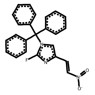 O=[N+]([O-])C=Cc1cn(C(c2ccccc2)(c2ccccc2)c2ccccc2)c(F)n1